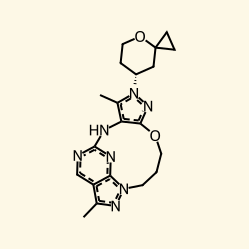 Cc1nn2c3nc(ncc13)Nc1c(nn([C@@H]3CCOC4(CC4)C3)c1C)OCCC2